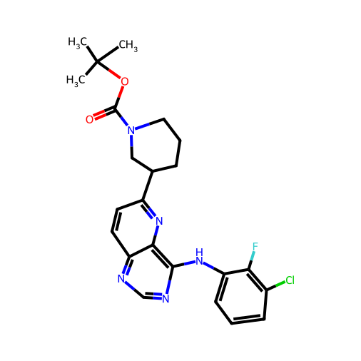 CC(C)(C)OC(=O)N1CCCC(c2ccc3ncnc(Nc4cccc(Cl)c4F)c3n2)C1